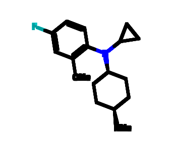 CN[C@H]1CC[C@@H](N(c2ccc(F)cc2OC)C2CC2)CC1